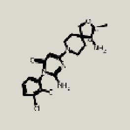 C[C@@H]1OCC2(CCN(c3cc(=O)n(-c4cccc(Cl)c4Cl)c(N)n3)CC2)[C@@H]1N